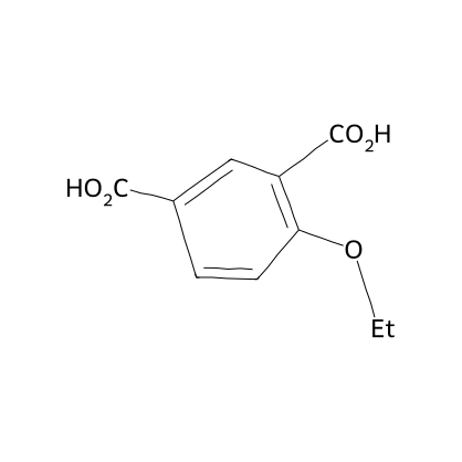 CCOc1ccc(C(=O)O)cc1C(=O)O